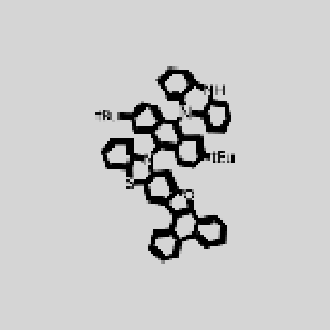 CC(C)(C)c1ccc2c(N3c4ccccc4Sc4cc5c(cc43)oc3c4ccccc4c4ccccc4c53)c3cc(C(C)(C)C)ccc3c(N3c4ccccc4Nc4ccccc43)c2c1